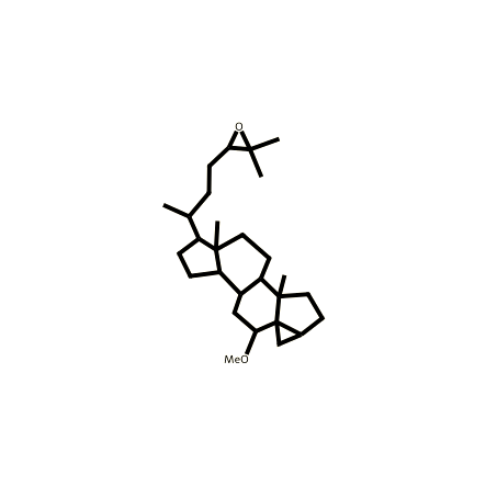 COC1CC2C3CCC(C(C)CCC4OC4(C)C)C3(C)CCC2C2(C)CCC3CC312